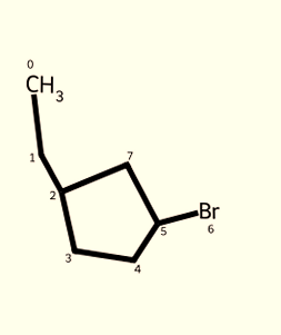 CCC1CCC(Br)C1